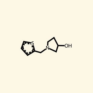 OC1CCN(Cc2cccs2)C1